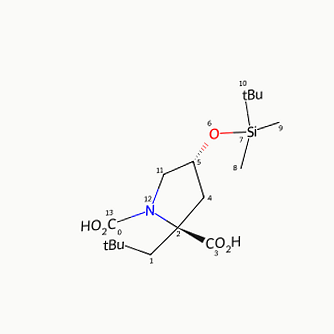 CC(C)(C)C[C@@]1(C(=O)O)C[C@@H](O[Si](C)(C)C(C)(C)C)CN1C(=O)O